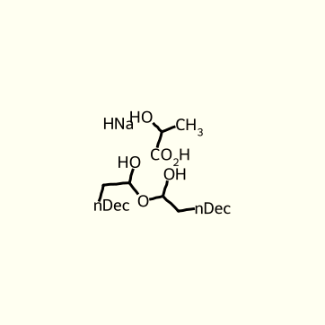 CC(O)C(=O)O.CCCCCCCCCCCC(O)OC(O)CCCCCCCCCCC.[NaH]